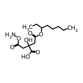 CCCCCC(CC)OC(=O)CC(O)(CC(=O)ON)C(=O)O